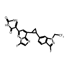 O=c1[nH]cc(-c2cc(C3CC3c3ccc4c(F)nn(CC(F)(F)F)c4c3)c3ncc(F)n3n2)c(=O)[nH]1